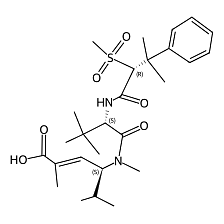 CC(=C[C@H](C(C)C)N(C)C(=O)[C@@H](NC(=O)[C@@H](C(C)(C)c1ccccc1)S(C)(=O)=O)C(C)(C)C)C(=O)O